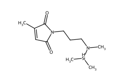 CC1=CC(=O)N(CCCN(C)[SiH](C)C)C1=O